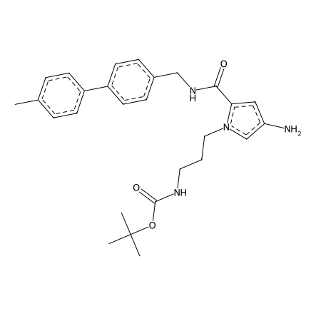 Cc1ccc(-c2ccc(CNC(=O)c3cc(N)cn3CCCNC(=O)OC(C)(C)C)cc2)cc1